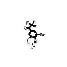 COc1c(F)cc(C(=O)C(F)(F)F)cc1Br